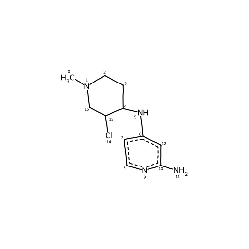 CN1CCC(Nc2ccnc(N)c2)C(Cl)C1